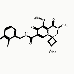 CCCCOc1c2n(cc(C(=O)NCc3cccc(Cl)c3F)c1=O)[C@]1(CN(C)C2=O)C[C@@H](OC)C1